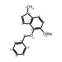 COc1ccc2c(ccn2C)c1OCc1ccccc1